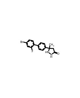 CC1(c2ccc(-c3ccc(Br)cc3F)cc2)CC(=O)NN1